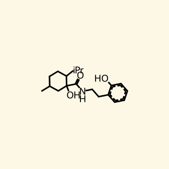 CC1CCC(C(C)C)C(O)(C(=O)NCCc2ccccc2O)C1